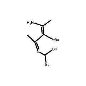 CCC(O)/N=C(C)\C(=C(\C)N)C(C)(C)C